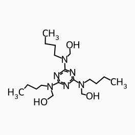 CCCCN(CO)c1nc(N(CO)CCCC)nc(N(CO)CCCC)n1